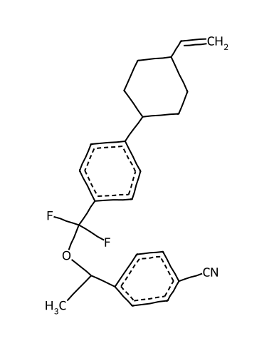 C=CC1CCC(c2ccc(C(F)(F)OC(C)c3ccc(C#N)cc3)cc2)CC1